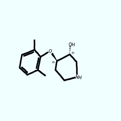 Cc1cccc(C)c1O[C@@H]1CCNC[C@H]1O